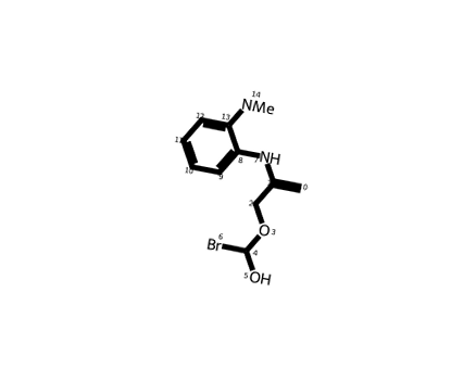 C=C(COC(O)Br)Nc1ccccc1NC